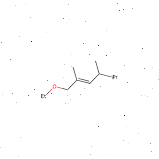 CCOC/C(C)=C/C(C)C(C)C